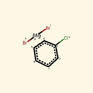 Clc1[c]cccc1.[Br][Mg][Br]